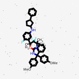 COc1ccc(C(NC2=NC(C)(C)C(F)(F)[C@@](C)(c3cc(NC4CCC(c5ccccc5)C4)ccc3F)O2)(c2ccccc2)c2ccc(OC)cc2)cc1